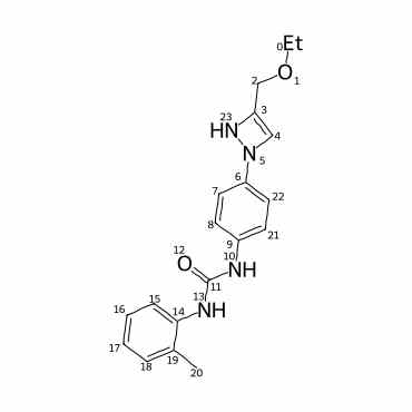 CCOCc1cn(-c2ccc(NC(=O)Nc3ccccc3C)cc2)[nH]1